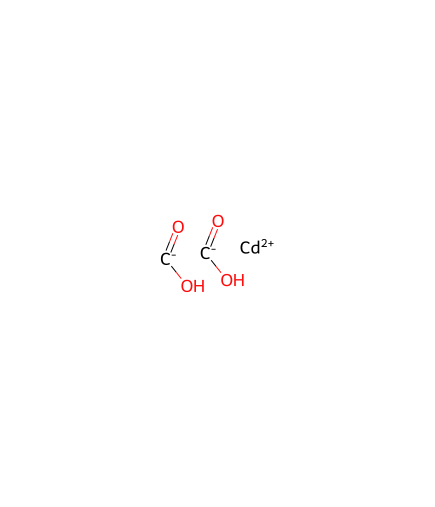 O=[C-]O.O=[C-]O.[Cd+2]